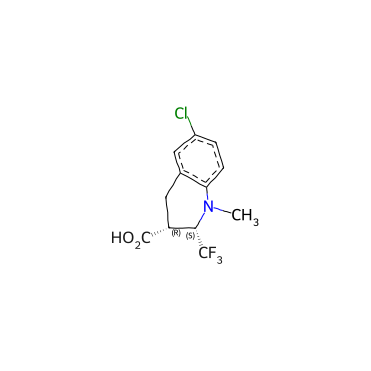 CN1c2ccc(Cl)cc2C[C@@H](C(=O)O)[C@H]1C(F)(F)F